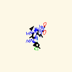 C/C(=C/c1cnn2c(NC3CC3)c(C)c(Nc3cc(Cl)c(C)cc3F)nc12)NC(=O)NC=O